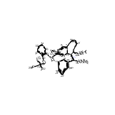 CN/C(=C1\C(=N)CCc2cnc(Nc3ccccc3OC(F)(I)I)nc21)c1ccccc1